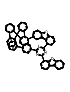 c1ccc(-c2ccc(-c3nc(-c4cccc5c4oc4ccccc45)nc(-c4cccc5oc6ccc(-c7cccc8c7-c7ccccc7C87c8ccccc8-c8ccccc87)cc6c45)n3)cc2)cc1